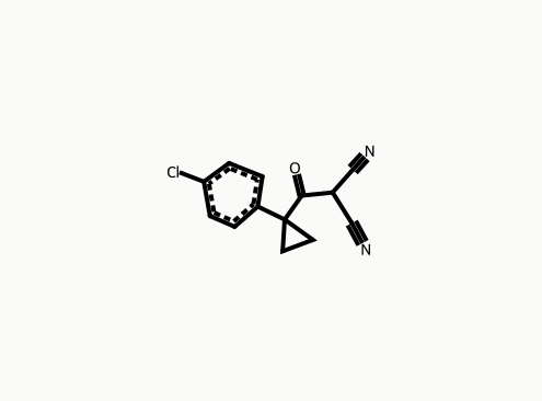 N#CC(C#N)C(=O)C1(c2ccc(Cl)cc2)CC1